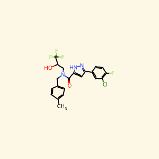 Cc1ccc(CN(CC(O)C(F)(F)F)C(=O)c2cc(-c3ccc(F)c(Cl)c3)n[nH]2)cc1